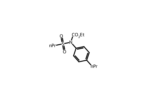 CCCc1ccc(N(C(=O)OCC)S(=O)(=O)CCC)cc1